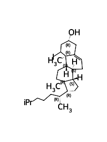 CC(C)CCC[C@@H](C)[C@H]1CC[C@H]2[C@@H]3CC=C4C[C@@H](O)CC(I)[C@]4(C)[C@H]3CC[C@]12C